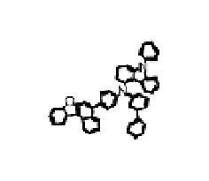 c1ccc(-c2cccc(N(c3ccc(-c4cc5oc6ccccc6c5c5ccccc45)cc3)c3cccc4c3c3ccccc3n4-c3ccccc3)c2)cc1